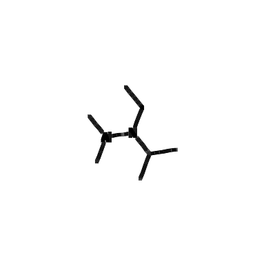 CC[N](C(C)C)[Al]([CH3])[CH3]